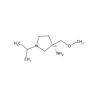 COC[C@]1(N)CCN(C(C)C)C1